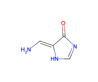 N/C=C1\NC=NC1=O